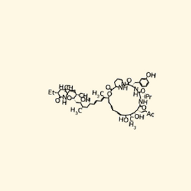 CC[C@H]1C[C@H](C)[C@@]2(NC1=O)O[C@@H](C[C@H](O)[C@@H](C)CC/C=C/C=C(\C)[C@@H]1C/C=C/C=C/[C@H](O)[C@H](C)[C@@H](O)[C@@H](CCC(C)=O)C(=O)N[C@@H](C(C)C)C(=O)N[C@@H](Cc3cccc(O)c3)C(=O)N3CCCC(N3)C(=O)O1)[C@H](C)C=C2C